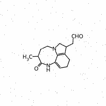 CC1CCN2CC(CC=O)C3=C2C(=CCC3)NC1=O